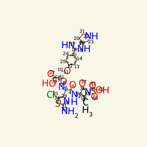 C[C@H]1[C@H](NC(=O)/C(=N\O[C@@H](COc2ccc(C(=N)N[C@@H]3CCNC3)cc2)C(=O)O)c2nc(N)sc2Cl)C(=O)N1S(=O)(=O)O